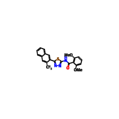 COc1cccc(OC)c1C(=O)Nc1nnc(-c2cc3ccccc3cc2C(F)(F)F)s1